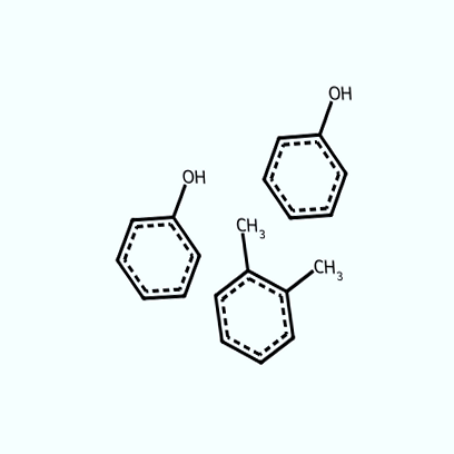 Cc1ccccc1C.Oc1ccccc1.Oc1ccccc1